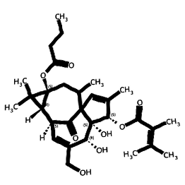 CCCC(=O)O[C@@]12CC(C)C34C=C(C)[C@H](OC(=O)C(C)=C(C)C)[C@@]3(O)[C@H](O)C(CO)=C[C@H](C4=O)[C@@H]1C2(C)C